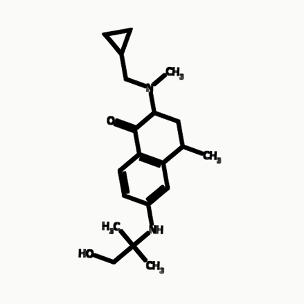 CC1CC(N(C)CC2CC2)C(=O)c2ccc(NC(C)(C)CO)cc21